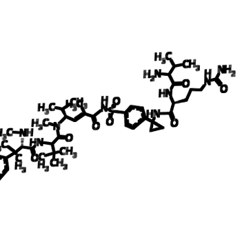 CN[C@H](C(=O)NC(C(=O)N(C)[C@H](/C=C(\C)C(=O)NS(=O)(=O)c1ccc(C2(NC(=O)[C@H](CCCNC(N)=O)NC(=O)C(N)C(C)C)CC2)cc1)C(C)C)C(C)(C)C)C(C)(C)c1ccccc1